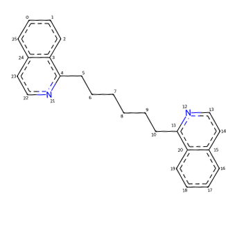 c1ccc2c(CCCCCCc3nccc4ccccc34)nccc2c1